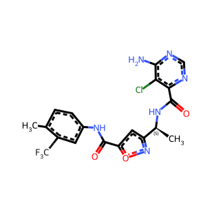 Cc1ccc(NC(=O)c2cc([C@H](C)NC(=O)c3ncnc(N)c3Cl)no2)cc1C(F)(F)F